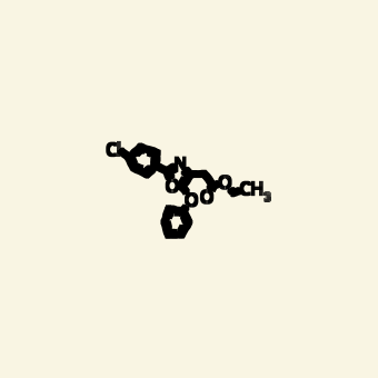 CCOC(=O)Cc1nc(-c2ccc(Cl)cc2)oc1Oc1ccccc1